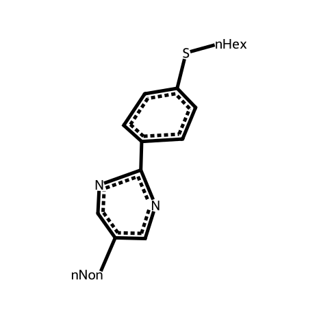 CCCCCCCCCc1cnc(-c2ccc(SCCCCCC)cc2)nc1